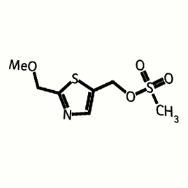 COCc1ncc(COS(C)(=O)=O)s1